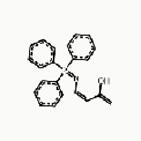 C=C(O)/C=C\N=P(c1ccccc1)(c1ccccc1)c1ccccc1